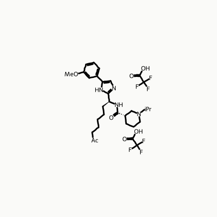 COc1cccc(-c2cnc([C@H](CCCCCC(C)=O)NC(=O)[C@H]3CCCN(C(C)C)C3)[nH]2)c1.O=C(O)C(F)(F)F.O=C(O)C(F)(F)F